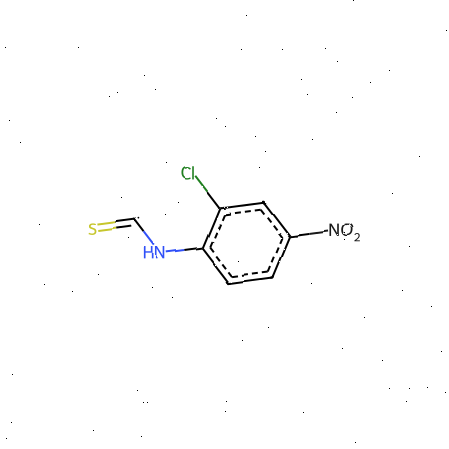 O=[N+]([O-])c1ccc(N[C]=S)c(Cl)c1